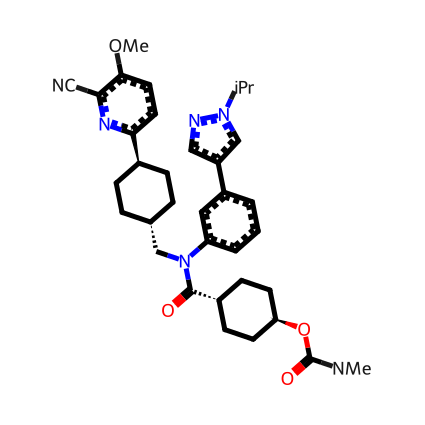 CNC(=O)O[C@H]1CC[C@H](C(=O)N(C[C@H]2CC[C@H](c3ccc(OC)c(C#N)n3)CC2)c2cccc(-c3cnn(C(C)C)c3)c2)CC1